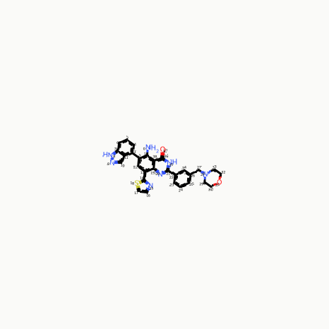 Nc1c(-c2cccc3[nH]ncc23)cc(-c2nccs2)c2nc(-c3cccc(CN4CCOCC4)c3)[nH]c(=O)c12